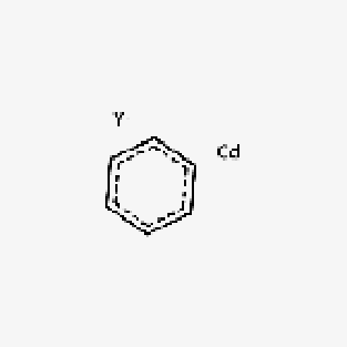 [Cd].[Y].c1ccccc1